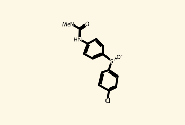 CNC(=O)Nc1ccc([S+]([O-])c2ccc(Cl)cc2)cc1